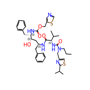 CCCN(Cc1csc(C(C)C)n1)C(=O)N[C@H](C(=O)N[C@@H](Cc1ccccc1)C[C@H](O)[C@H](Cc1ccccc1)NC(=O)OCc1cncs1)C(C)C